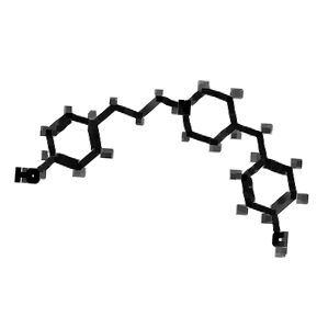 Oc1ccc(CCCN2CCC(Cc3ccc(Cl)cc3)CC2)cc1